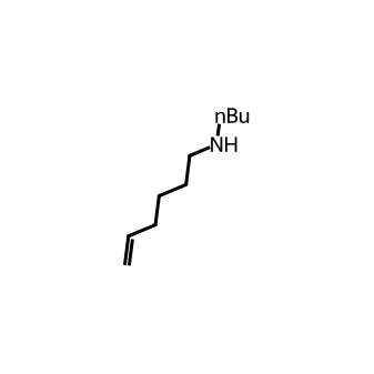 C=CCCCCNCCCC